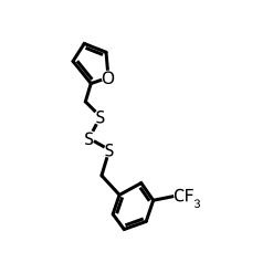 FC(F)(F)c1cccc(CSSSCc2ccco2)c1